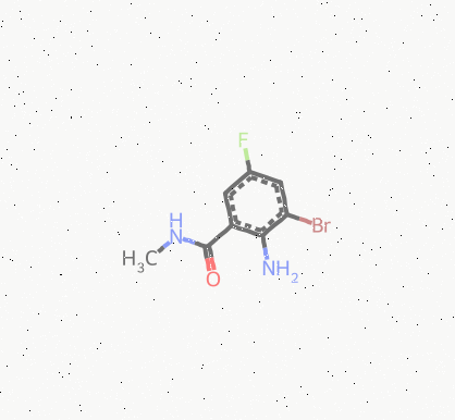 CNC(=O)c1cc(F)cc(Br)c1N